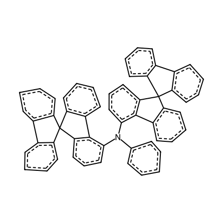 c1ccc(N(c2cccc3c2-c2ccccc2C32c3ccccc3-c3ccccc32)c2cccc3c2-c2ccccc2C32c3ccccc3-c3ccccc32)cc1